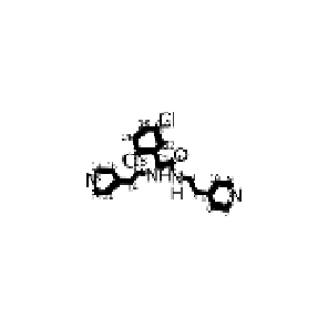 O=C(NCCc1ccncc1)C(NCCc1ccncc1)c1cc(Cl)ccc1Cl